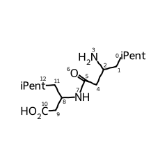 CCCC(C)CC(N)CC(=O)NC(CC(=O)O)CC(C)CCC